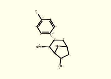 CCC[C@@H]1C2NC(CC2O)C[C@H]1c1ccc(F)cc1